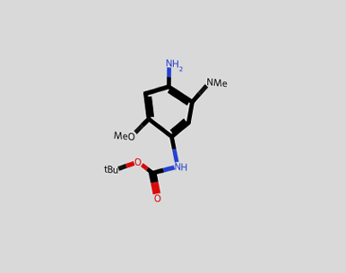 CNc1cc(NC(=O)OC(C)(C)C)c(OC)cc1N